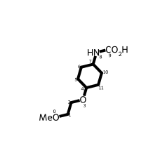 COCCOC1CCC(NC(=O)O)CC1